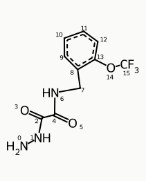 NNC(=O)C(=O)NCc1ccccc1OC(F)(F)F